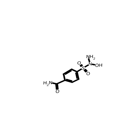 NC(=O)c1ccc(S(=O)(=O)N(N)O)cc1